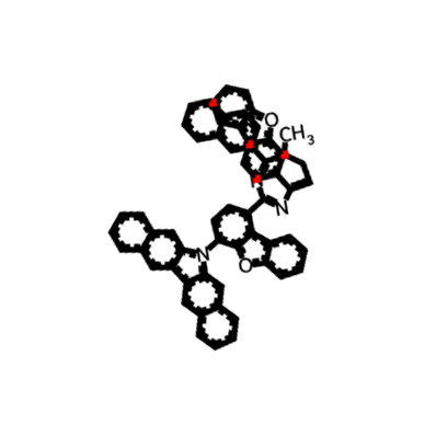 CC1C/C=C(c2ccc3c(c2)oc2ccccc23)/N=C(c2ccc(-n3c4cc5ccccc5cc4c4cc5ccccc5cc43)c3oc4ccccc4c23)\N=C/1c1ccc2ccccc2c1